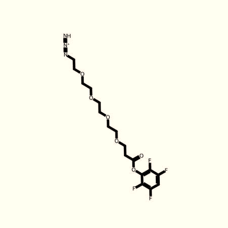 N=[N+]=NCCOCCOCCOCCOCCC(=O)Oc1c(F)c(F)cc(F)c1F